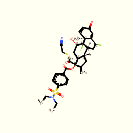 CCN(CC)S(=O)(=O)c1ccc(C(=O)O[C@]2(C(=O)SCC#N)C(C)C[C@H]3[C@@H]4C[C@H](F)C5=CC(=O)C=C[C@]5(C)[C@@]4(F)[C@@H](O)C[C@@]32C)cc1